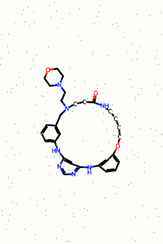 O=C1CCN(CCN2CCOCC2)Cc2cccc(c2)Nc2cc(ncn2)Nc2cccc(c2)OCCCCN1